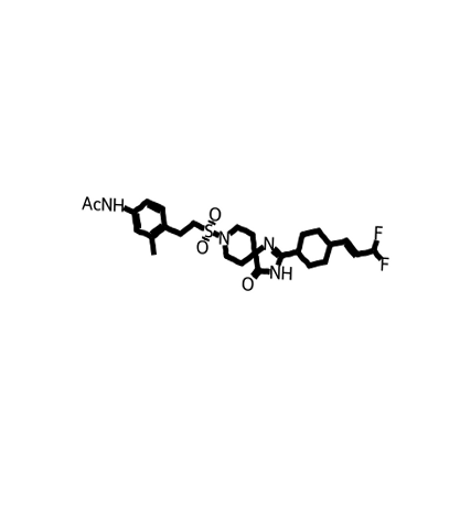 CC(=O)Nc1ccc(CCS(=O)(=O)N2CCC3(CC2)N=C(C2CCC(C=CC(F)F)CC2)NC3=O)c(C)c1